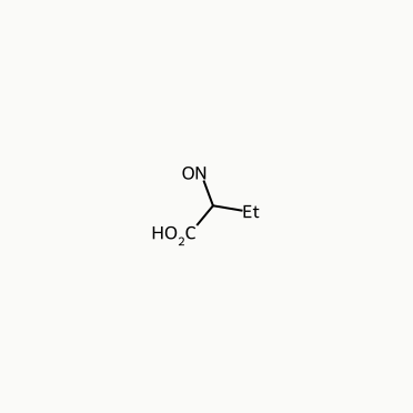 CCC(N=O)C(=O)O